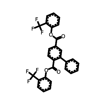 O=C(Oc1ccccc1C(F)(F)F)c1ccc(C(=O)Oc2ccccc2C(F)(F)F)c(-c2ccccc2)c1